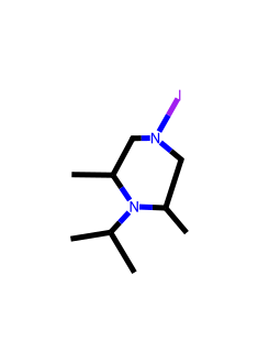 CC(C)N1C(C)CN(I)CC1C